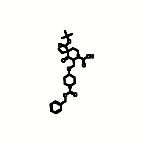 CCC1(C(=O)OC(C)(C)C)CCN(C(=O)O)C(COC2CCN(C(=O)OCc3ccccc3)CC2)C1=O